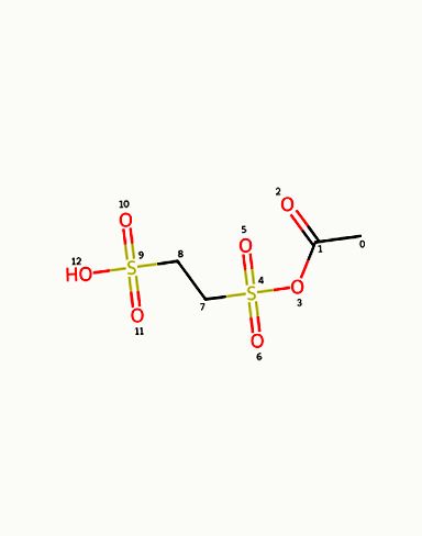 CC(=O)OS(=O)(=O)CCS(=O)(=O)O